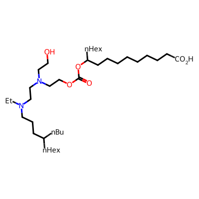 CCCCCCC(CCCC)CCCN(CC)CCN(CCO)CCOC(=O)OC(CCCCCC)CCCCCCCCC(=O)O